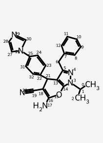 CC(C)n1nc(Cc2ccccc2)c2c1OC(N)=C(C#N)C2c1ccc(-n2ccnc2)cc1